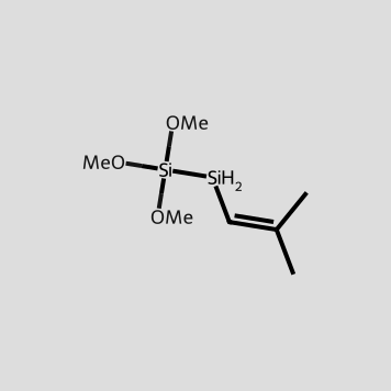 CO[Si](OC)(OC)[SiH2]C=C(C)C